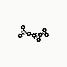 Cc1cc(-c2ccc(-c3nc(-c4ccccc4)nc(-c4ccccc4)n3)cc2)cc(C)c1-n1c2ccccc2c2cc(-n3c4ccccc4c4ccccc43)ccc21